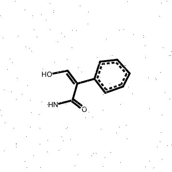 [NH]C(=O)C(=CO)c1ccccc1